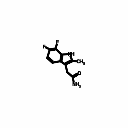 Cc1[nH]c2c(F)c(F)ccc2c1CC(N)=O